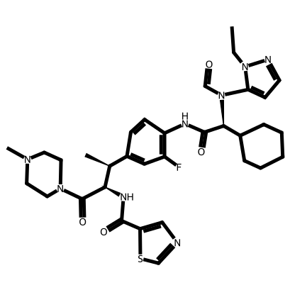 CCn1nccc1N(C=O)[C@H](C(=O)Nc1ccc([C@H](C)[C@@H](NC(=O)c2cncs2)C(=O)N2CCN(C)CC2)cc1F)C1CCCCC1